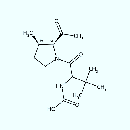 CC(=O)[C@@H]1[C@H](C)CCN1C(=O)C(NC(=O)O)C(C)(C)C